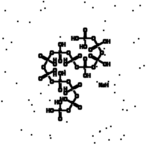 O=P(O)(O)OP(=O)(O)OP(=O)(O)OP(=O)(O)OP(=O)(O)OP(=O)(O)OP(=O)(O)OP(=O)(O)OP(=O)(O)OP(=O)(O)OP(=O)(O)OP(=O)(O)O.[NaH]